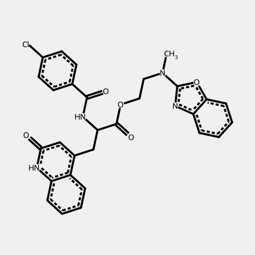 CN(CCOC(=O)C(Cc1cc(=O)[nH]c2ccccc12)NC(=O)c1ccc(Cl)cc1)c1nc2ccccc2o1